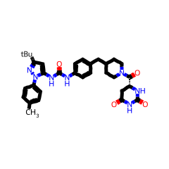 Cc1ccc(-n2nc(C(C)(C)C)cc2NC(=O)Nc2ccc(CC3CCN(C(=O)[C@H]4CC(=O)NC(=O)N4)CC3)cc2)cc1